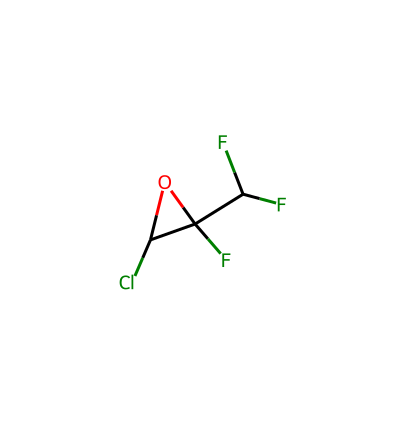 FC(F)C1(F)OC1Cl